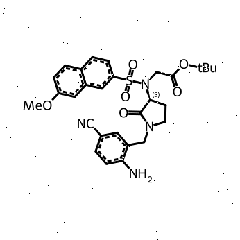 COc1ccc2ccc(S(=O)(=O)N(CC(=O)OC(C)(C)C)[C@H]3CCN(Cc4cc(C#N)ccc4N)C3=O)cc2c1